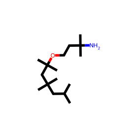 CC(C)CC(C)(C)CC(C)(C)OCCC(C)(C)N